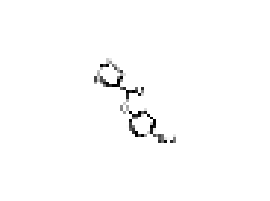 CC(C)(C)c1ccc(OC(=O)c2cncnc2)cc1